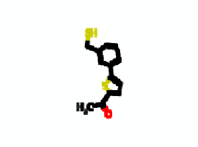 CC(=O)c1ccc(-c2cccc(CS)c2)s1